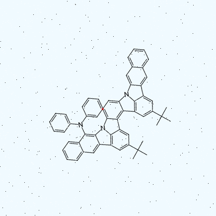 CC(C)(C)c1cc2c3cc4ccccc4cc3n3c4ccc5c(c6cc(C(C)(C)C)cc7c8cc9ccccc9c(N(c9ccccc9)c9ccccc9)c8n5c76)c4c(c1)c23